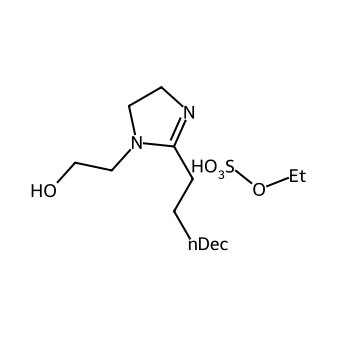 CCCCCCCCCCCCC1=NCCN1CCO.CCOS(=O)(=O)O